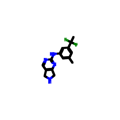 Cc1cc(Nc2ncc3c(n2)CNC3)cc(C(C)(F)F)c1